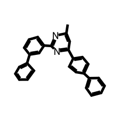 Cc1cc(-c2ccc(-c3ccccc3)cc2)nc(-c2cccc(-c3ccccc3)c2)n1